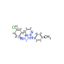 Cc1ccc(Nc2nccc(-c3cc(Cl)ccc3N)n2)cc1